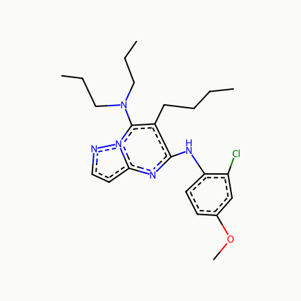 CCCCc1c(Nc2ccc(OC)cc2Cl)nc2ccnn2c1N(CCC)CCC